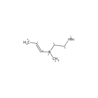 C/C=C/B(C)CCCCCC